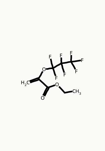 C=C(OC(F)(F)C(F)(F)C(F)(F)F)C(=O)OCC